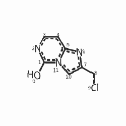 Oc1nccc2nc(CCl)cn12